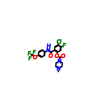 CN1CCN(C(=O)Oc2cc(F)c(Cl)cc2C(=O)Nc2ccc(OC(F)(F)F)cc2)CC1